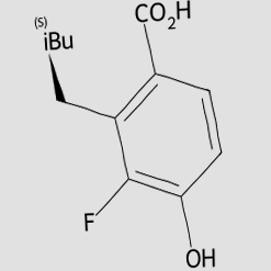 CC[C@H](C)Cc1c(C(=O)O)ccc(O)c1F